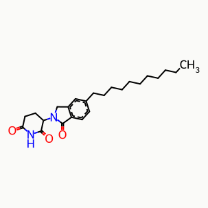 CCCCCCCCCCCc1ccc2c(c1)CN(C1CCC(=O)NC1=O)C2=O